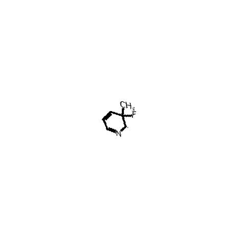 CC1(F)[CH]N=CC=C1